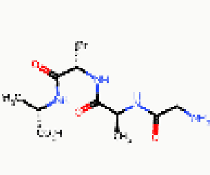 CC(C)[C@H](NC(=O)[C@H](C)NC(=O)CN)C(=O)N[C@@H](C)C(=O)O